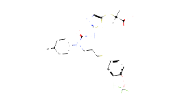 CC1CCC(N(CCCSc2ccc(OC(F)(F)F)cc2)C(=O)Nc2ncc(SC(C)(C)C(=O)O)s2)CC1